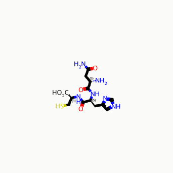 NC(=O)C[C@H](N)C(=O)N[C@@H](Cc1c[nH]cn1)C(=O)N[C@@H](CS)C(=O)O